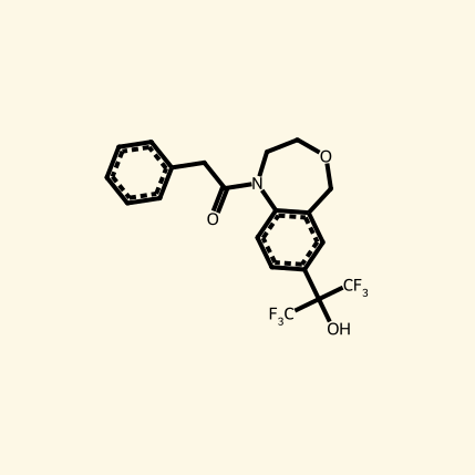 O=C(Cc1ccccc1)N1CCOCc2cc(C(O)(C(F)(F)F)C(F)(F)F)ccc21